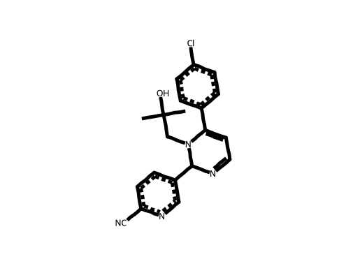 CC(C)(O)CN1C(c2ccc(Cl)cc2)=CC=NC1c1ccc(C#N)nc1